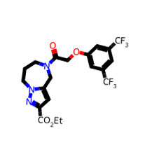 CCOC(=O)c1cc2n(n1)CCCN(C(=O)COc1cc(C(F)(F)F)cc(C(F)(F)F)c1)C2